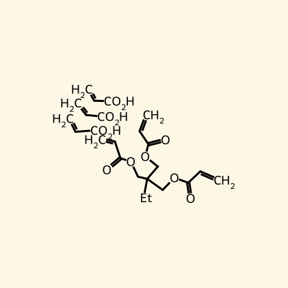 C=CC(=O)O.C=CC(=O)O.C=CC(=O)O.C=CC(=O)OCC(CC)(COC(=O)C=C)COC(=O)C=C